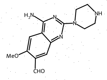 COc1cc2c(N)nc(N3CCNCC3)nc2cc1C=O